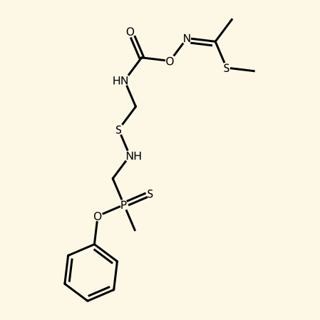 CSC(C)=NOC(=O)NCSNCP(C)(=S)Oc1ccccc1